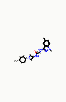 Cc1ccc2c(c1)c(NCC(=O)NC1CN([C@H]3CC[C@@H](C(C)C)CC3)C1)nn2C